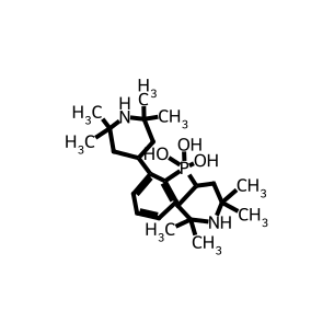 CC1(C)CC(c2ccccc2P(O)(O)(O)C2CC(C)(C)NC(C)(C)C2)CC(C)(C)N1